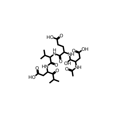 CC(=O)NC(CC(=O)O)C(O)NC(CCC(=O)O)C(=O)NC(C(=O)NC(CC(=O)O)C(=O)C(C)C)C(C)C